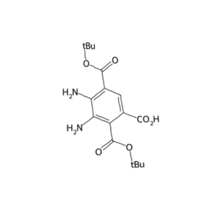 CC(C)(C)OC(=O)c1cc(C(=O)O)c(C(=O)OC(C)(C)C)c(N)c1N